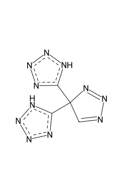 C1=NN=NC1(c1nnn[nH]1)c1nnn[nH]1